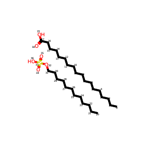 CCCCCCCCCCCCCCCCCC(=O)O.CCCCCCCCCCCCOS(=O)(=O)O